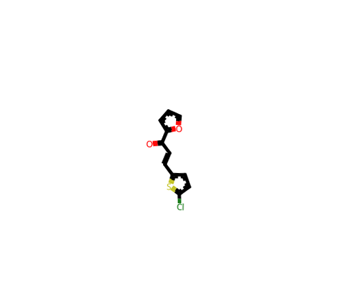 O=C(C=Cc1ccc(Cl)s1)c1ccco1